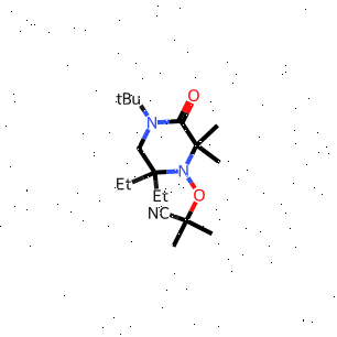 CCC1(CC)CN(C(C)(C)C)C(=O)C(C)(C)N1OC(C)(C)C#N